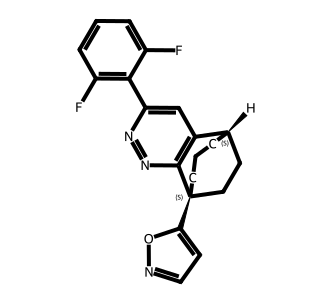 Fc1cccc(F)c1-c1cc2c(nn1)[C@]1(c3ccno3)CCC[C@H]2CC1